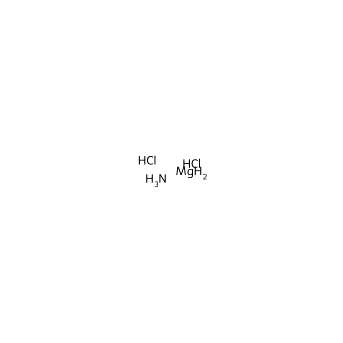 Cl.Cl.N.[MgH2]